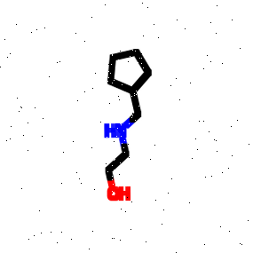 OCCNCC1CCCC1